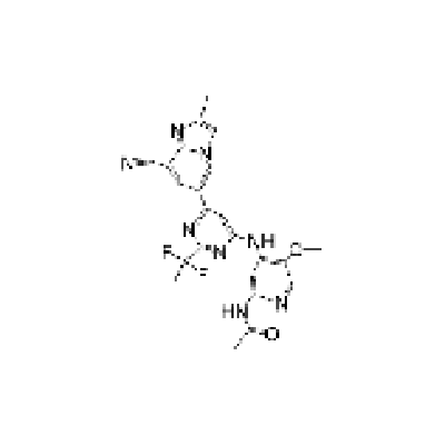 COc1cnc(NC(C)=O)cc1Nc1cc(-c2cc(C#N)c3nc(C)cn3c2)nc(C(C)(F)F)n1